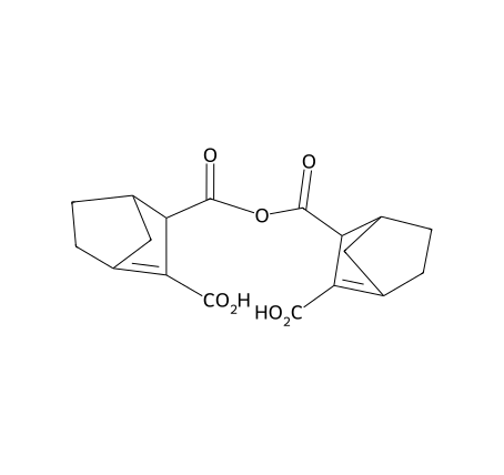 O=C(O)C1=C2CCC(C2)C1C(=O)OC(=O)C1C(C(=O)O)=C2CCC1C2